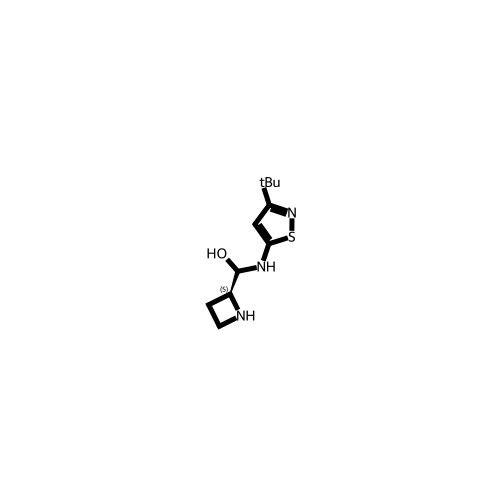 CC(C)(C)c1cc(NC(O)[C@@H]2CCN2)sn1